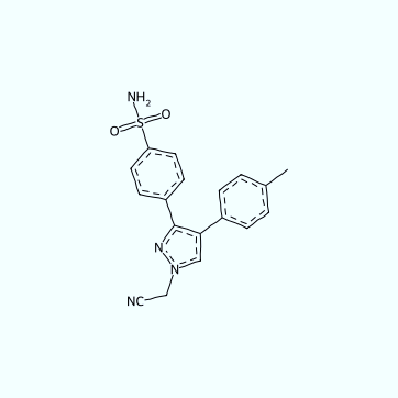 Cc1ccc(-c2cn(CC#N)nc2-c2ccc(S(N)(=O)=O)cc2)cc1